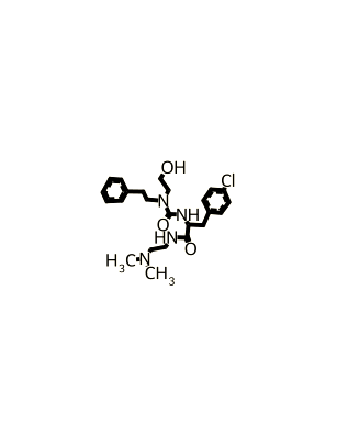 CN(C)CCNC(=O)C(Cc1ccc(Cl)cc1)NC(=O)N(CCO)CCc1ccccc1